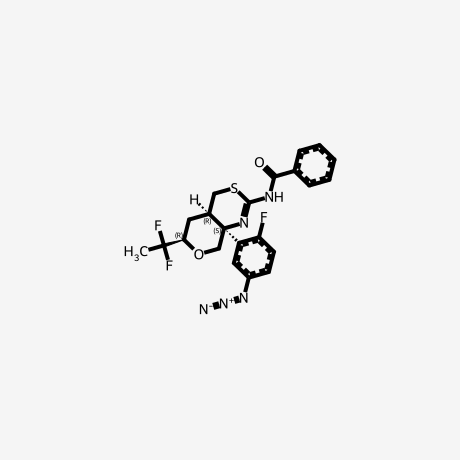 CC(F)(F)[C@H]1C[C@H]2CSC(NC(=O)c3ccccc3)=N[C@@]2(c2cc(N=[N+]=[N-])ccc2F)CO1